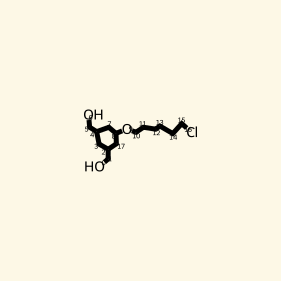 OCC1CC(CO)CC(OCCCCCCCl)C1